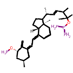 C=C1/C(=C\C=C2/CCC[C@]3(C)C([C@H](C)/C=C/C(C)C(C)(C)OP(P)P)CC[C@@H]23)C[C@@H](C)C[C@@H]1OP